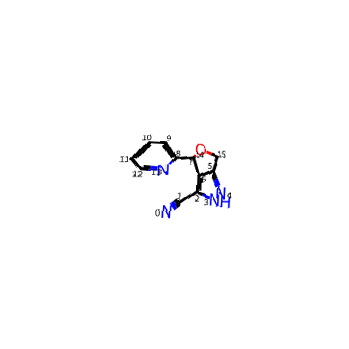 N#Cc1[nH]nc2c1C(c1ccccn1)OC2